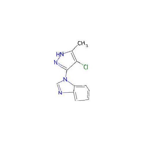 Cc1[nH]nc(-n2cnc3ccccc32)c1Cl